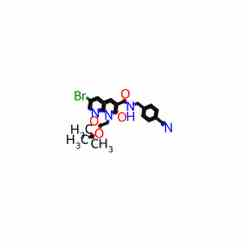 CC(C)(C)OC(=O)Cn1c(=O)c(C(=O)NCc2ccc(C#N)cc2)cc2cc(Br)cnc21